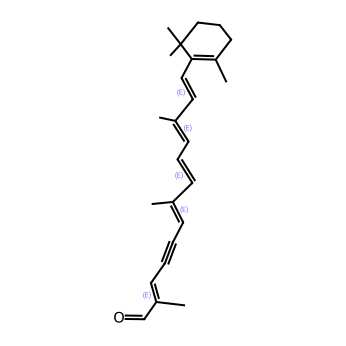 CC1=C(/C=C/C(C)=C/C=C/C(C)=C/C#C/C=C(\C)C=O)C(C)(C)CCC1